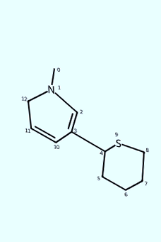 CN1C=C(C2CCCCS2)C=CC1